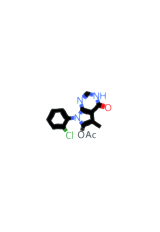 CC(=O)Oc1c(C)c2c(=O)[nH]cnc2n1-c1ccccc1Cl